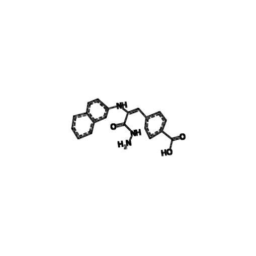 NNC(=O)C(=Cc1ccc(C(=O)O)cc1)Nc1ccc2ccccc2c1